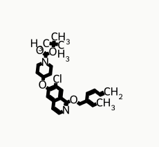 C=C/C=C\C(=C/C)COc1nccc2cc(OC3CCN(C(=O)OC(C)(C)C)CC3)c(Cl)cc12